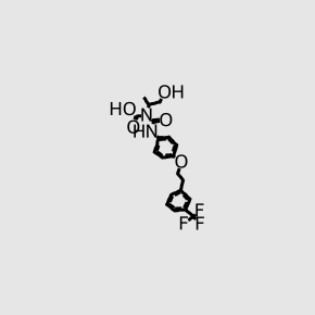 CC(CO)N(C(=O)O)C(=O)Nc1ccc(OCCc2cccc(C(F)(F)F)c2)cc1